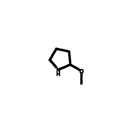 COC1CCCN1